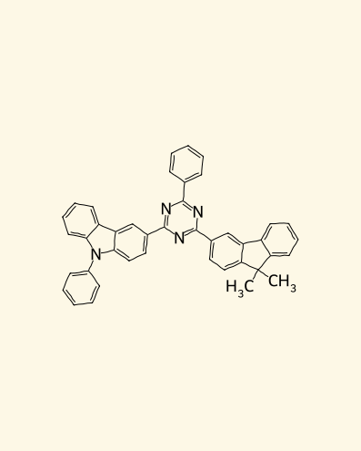 CC1(C)c2ccccc2-c2cc(-c3nc(-c4ccccc4)nc(-c4ccc5c(c4)c4ccccc4n5-c4ccccc4)n3)ccc21